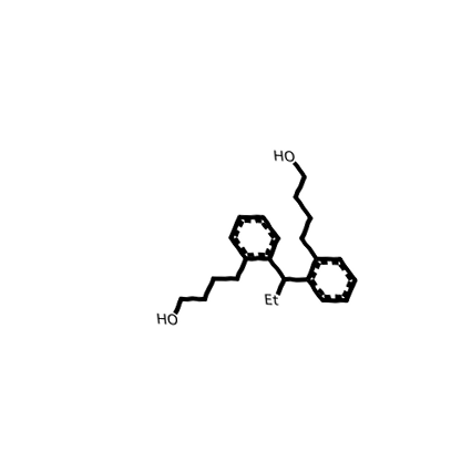 CCC(c1ccccc1CCCCO)c1ccccc1CCCCO